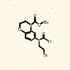 CCC(=O)N(CCC#N)c1ccc2c(c1)N(C(=O)OC(C)(C)C)CCO2